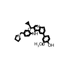 COc1cc(-c2ccc3ncc(C(=O)C4CC4)c(Nc4ccc(CN5CCCC5)cc4)c3c2)ccc1O